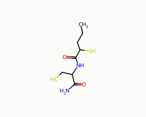 CCCC(S)C(=O)NC(CS)C(N)=O